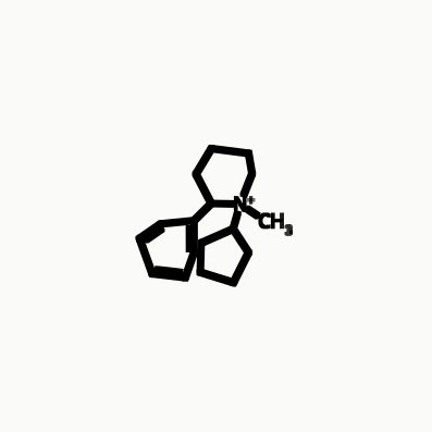 C[N+]1(C2CCCC2)CCCCC1c1ccccc1